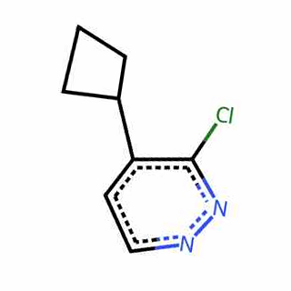 Clc1nnccc1C1CCC1